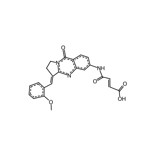 COc1ccccc1/C=C1\CCn2c1nc1cc(NC(=O)/C=C/C(=O)O)ccc1c2=O